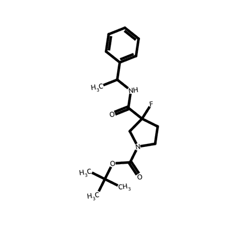 CC(NC(=O)C1(F)CCN(C(=O)OC(C)(C)C)C1)c1ccccc1